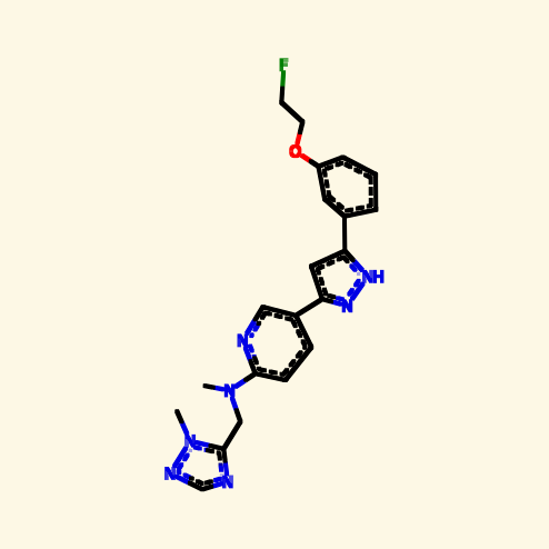 CN(Cc1ncnn1C)c1ccc(-c2cc(-c3cccc(OCCF)c3)[nH]n2)cn1